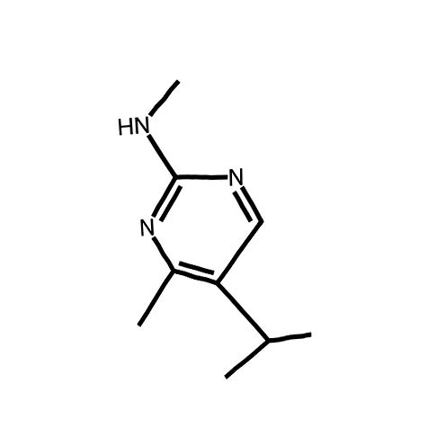 CNc1ncc(C(C)C)c(C)n1